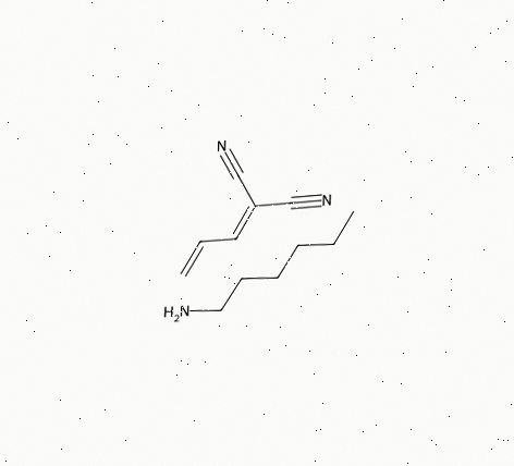 C=CC=C(C#N)C#N.CCCCCCN